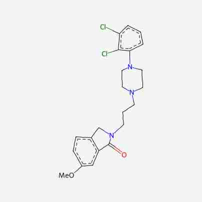 COc1ccc2c(c1)C(=O)N(CCCN1CCN(c3cccc(Cl)c3Cl)CC1)C2